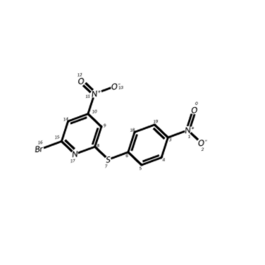 O=[N+]([O-])c1ccc(Sc2cc([N+](=O)[O-])cc(Br)n2)cc1